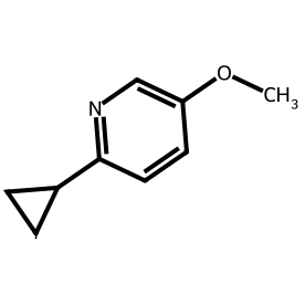 COc1ccc(C2[CH]C2)nc1